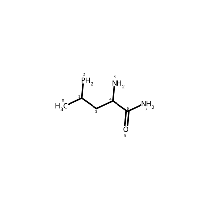 CC(P)CC(N)C(N)=O